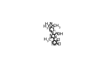 Cc1nc(N2CCC(C)([C@H](C)N)CC2)c(CO)nc1-c1cncc(Cl)c1Cl